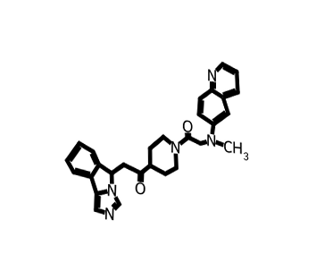 CN(CC(=O)N1CCC(C(=O)CC2c3ccccc3-c3cncn32)CC1)c1ccc2ncccc2c1